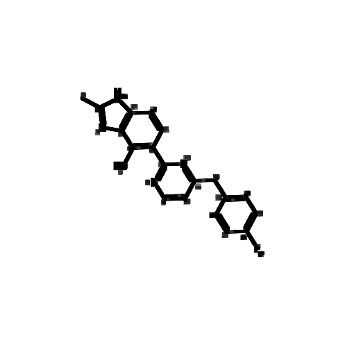 Cc1nc2c(O)c(-c3nccc(Cc4ccc(F)cc4)n3)ccc2[nH]1